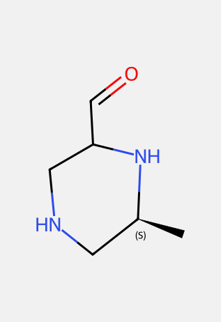 C[C@H]1CNCC(C=O)N1